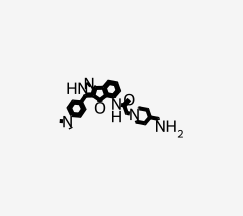 CN(C)c1ccc(-c2[nH]nc3c2C(=O)c2c(NC(=O)CN4CCC(CN)CC4)cccc2-3)cc1